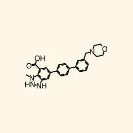 CN1NNc2cc(-c3ccc(-c4cccc(CN5CCOCC5)c4)cc3)cc(C(=O)O)c21